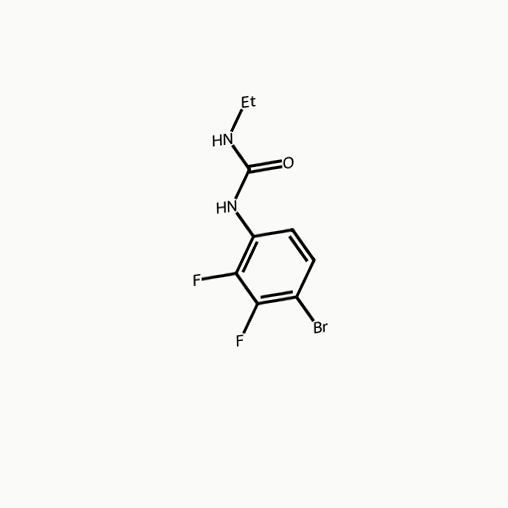 CCNC(=O)Nc1ccc(Br)c(F)c1F